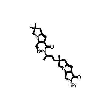 CC(C)N1Cc2c(cc3n2CC(C)(CCC(C)n2ncc4c(cc5n4CC(C)(C)C5)c2=O)C3)C1=O